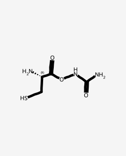 NC(=O)NOC(=O)[C@@H](N)CS